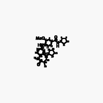 COc1cc(C(=O)NC2CCCC2)ccc1Nc1ncc2c(n1)N(C1CCCC1)CC(C)C(=O)N2C